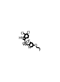 O=S(=O)(Nc1ncc(OCCF)cc1F)c1c[nH]c2c(Cl)c(Cl)ccc12